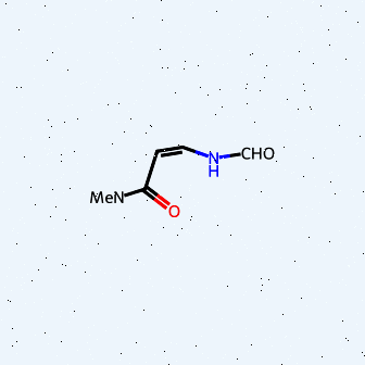 CNC(=O)/C=C\NC=O